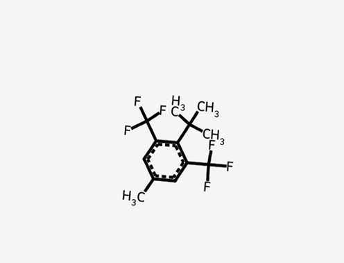 Cc1cc(C(F)(F)F)c(C(C)(C)C)c(C(F)(F)F)c1